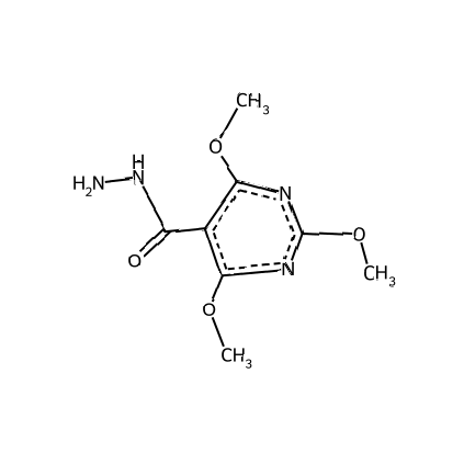 COc1nc(OC)c(C(=O)NN)c(OC)n1